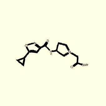 CNC(=O)CN1CCC(NC(=O)c2cc(C3CC3)on2)C1